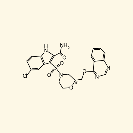 NC(=O)c1[nH]c2ccc(Cl)cc2c1S(=O)(=O)N1CCO[C@H](COc2ncnc3ccccc23)C1